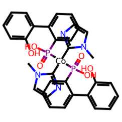 Cn1ccn[c]1[Co]([c]1nccn1C)([P](=O)(O)c1ccccc1-c1ccccc1O)[P](=O)(O)c1ccccc1-c1ccccc1O